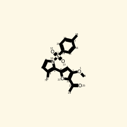 COc1cc(-c2c(F)ccn2S(=O)(=O)c2ccc(C)cc2)oc1C(C)=O